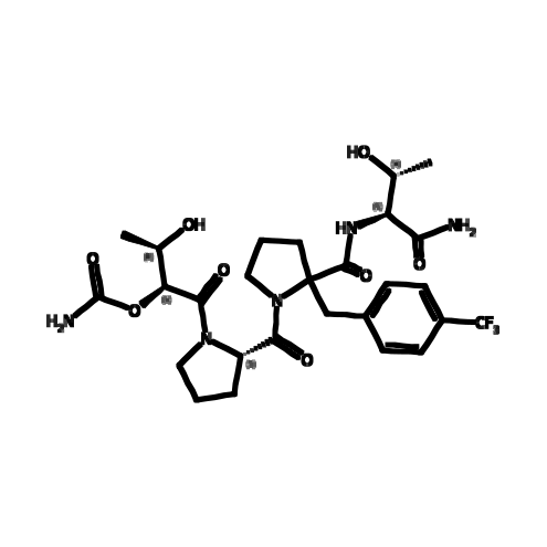 C[C@@H](O)[C@H](NC(=O)C1(Cc2ccc(C(F)(F)F)cc2)CCCN1C(=O)[C@@H]1CCCN1C(=O)[C@@H](OC(N)=O)[C@@H](C)O)C(N)=O